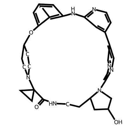 O=C1NCCC2CC(O)CN2c2ncc(cn2)-c2ccnc(c2)Nc2cccc(c2F)OC2CCN(CC2)C12CC2